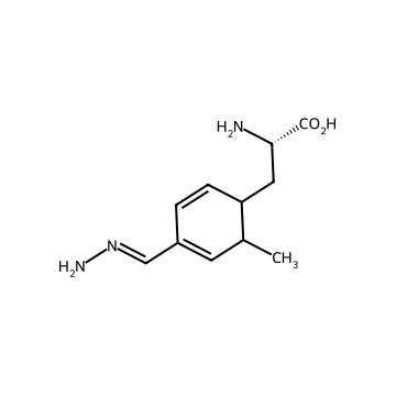 CC1C=C(/C=N/N)C=CC1C[C@H](N)C(=O)O